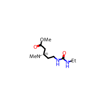 CCNC(=O)NCC[C@@H](CC(=O)OC)NC